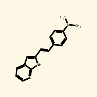 CN(C)c1ccc(/C=C/c2cc3cccnc3[nH]2)cc1